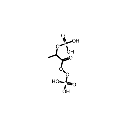 CC(OP(=O)(O)O)C(=O)OOP(=O)(O)O